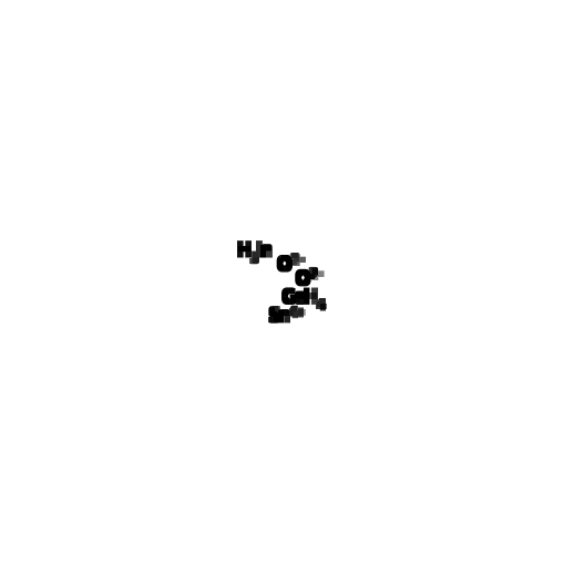 [GeH4].[InH3].[O-2].[O-2].[Sn+4]